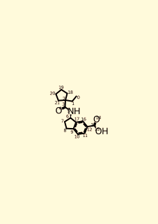 CCC1(C(=O)N[C@@H]2CCc3ccc(C(=O)O)cc32)CCCC1